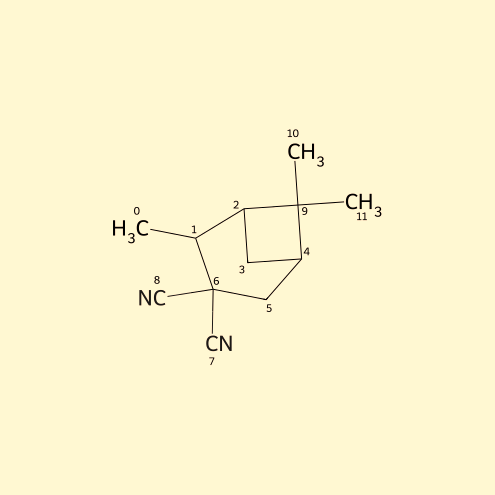 CC1C2CC(CC1(C#N)C#N)C2(C)C